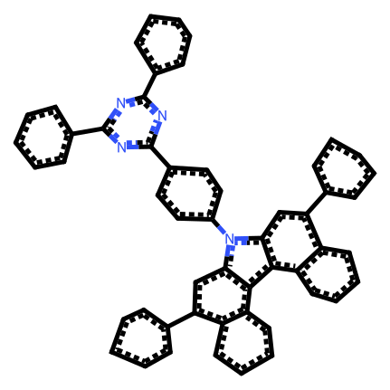 c1ccc(-c2nc(-c3ccccc3)nc(-c3ccc(-n4c5cc(-c6ccccc6)c6ccccc6c5c5c6ccccc6c(-c6ccccc6)cc54)cc3)n2)cc1